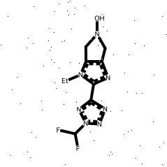 CCn1c(-c2nnn(C(F)F)n2)nc2c1CN(O)C2